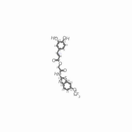 O=C(COC(=O)/C=C/c1ccc(O)c(O)c1)Nc1nc2ccc(OC(F)(F)F)cc2s1